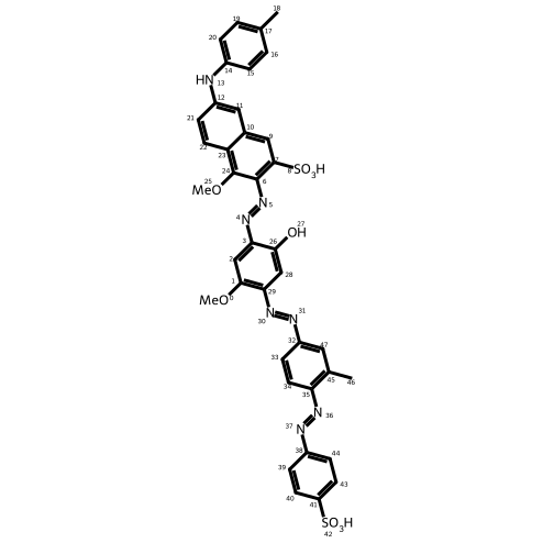 COc1cc(N=Nc2c(S(=O)(=O)O)cc3cc(Nc4ccc(C)cc4)ccc3c2OC)c(O)cc1N=Nc1ccc(N=Nc2ccc(S(=O)(=O)O)cc2)c(C)c1